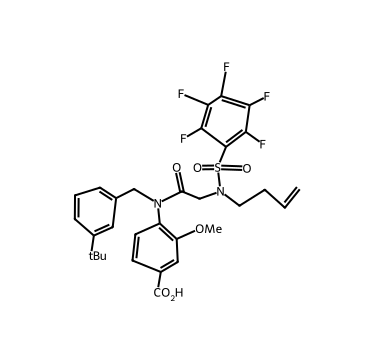 C=CCCN(CC(=O)N(Cc1cccc(C(C)(C)C)c1)c1ccc(C(=O)O)cc1OC)S(=O)(=O)c1c(F)c(F)c(F)c(F)c1F